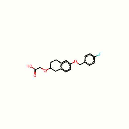 O=C(O)COC1CCc2cc(OCc3ccc(F)cc3)ccc2C1